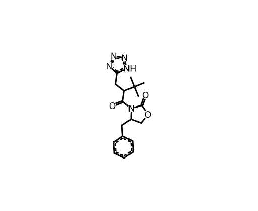 CC(C)(C)C(Cc1nnn[nH]1)C(=O)N1C(=O)OCC1Cc1ccccc1